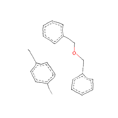 Cc1ccc(C)cc1.c1ccc(COCc2ccccc2)cc1